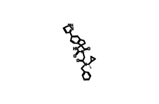 C[C@@H](C1CC1)N(Cc1ccccc1)C(=O)CN1C(=O)NC2(CCc3cc(-c4cc[nH]n4)ccc32)C1=O